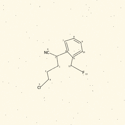 N#CC(CCCCl)c1ccccc1CF